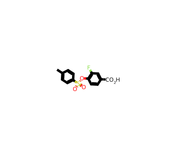 Cc1ccc(S(=O)(=O)Oc2ccc(C(=O)O)cc2F)cc1